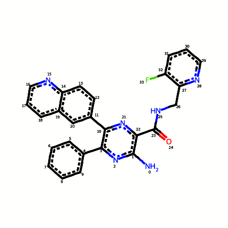 Nc1nc(-c2ccccc2)c(-c2ccc3ncccc3c2)nc1C(=O)NCc1ncccc1F